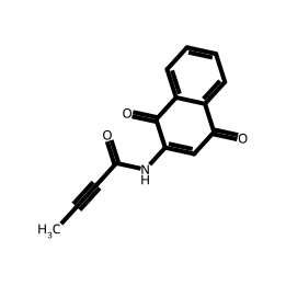 CC#CC(=O)NC1=CC(=O)c2ccccc2C1=O